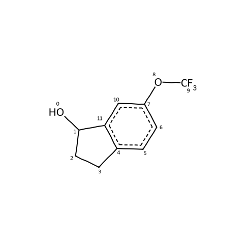 OC1CCc2ccc(OC(F)(F)F)cc21